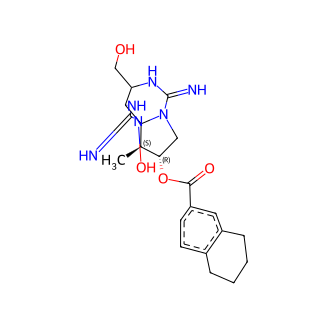 C[C@@H]1[C@@H](OC(=O)c2ccc3c(c2)CCCC3)CN2C(=N)NC(CO)C3NC(=N)N(O)C312